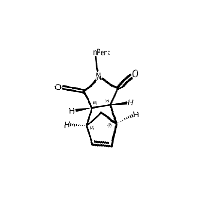 [CH2]CCCCN1C(=O)[C@@H]2[C@H](C1=O)[C@H]1C=C[C@@H]2C1